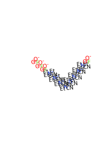 CC[N+](C#N)(CC)CC.CC[N+](C#N)(CC)CC.CC[N+](C#N)(CC)CC.CC[N+](C#N)(CC)CC.CC[N+](C#N)(CC)CC.CC[N+](C#N)(CC)CC.CC[N+](C#N)(CC)CC.CC[N+](C#N)(CC)CC.[O-]B([O-])F.[O-]B([O-])F.[O-]B([O-])F.[O-]B([O-])F